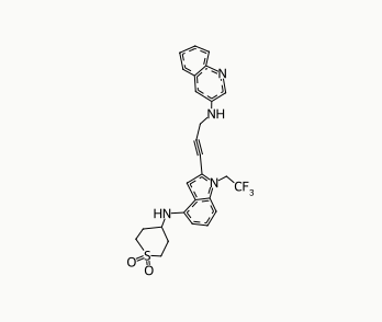 O=S1(=O)CCC(Nc2cccc3c2cc(C#CCNc2cnc4ccccc4c2)n3CC(F)(F)F)CC1